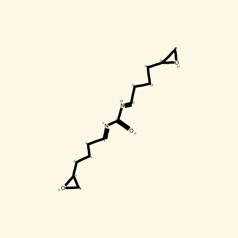 O=C(N=CCCCC1CO1)N=CCCCC1CO1